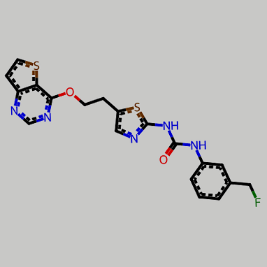 O=C(Nc1cccc(CF)c1)Nc1ncc(CCOc2ncnc3ccsc23)s1